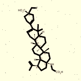 C=C(C)[C@@H]1CC[C@]2(NCC(=O)O)CC[C@]3(C)C(CC[C@@H]4[C@@]5(C)CC=C(C6=CC[C@](CF)(C(=O)O)CC6)C(C)(C)[C@@H]5CC[C@]43C)[C@@H]12